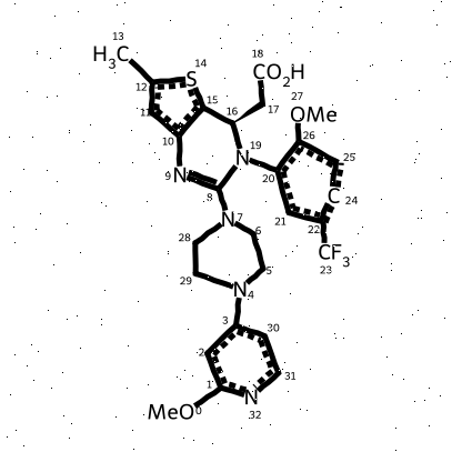 COc1cc(N2CCN(C3=Nc4cc(C)sc4[C@@H](CC(=O)O)N3c3cc(C(F)(F)F)ccc3OC)CC2)ccn1